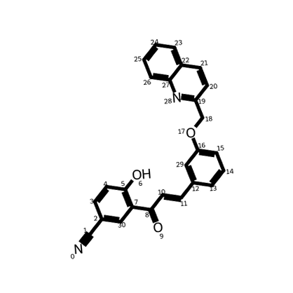 N#Cc1ccc(O)c(C(=O)C=Cc2cccc(OCc3ccc4ccccc4n3)c2)c1